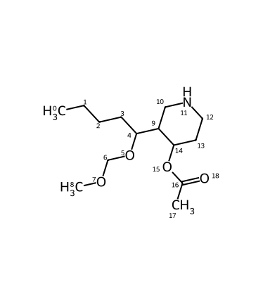 CCCCC(OCOC)C1CNCCC1OC(C)=O